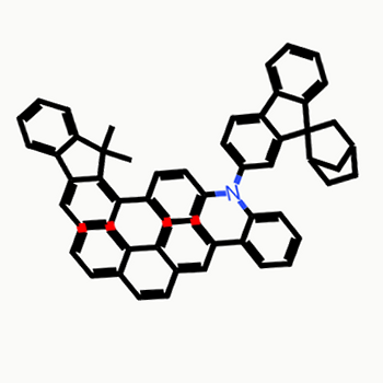 CC1(C)c2ccccc2-c2cccc(-c3ccc(N(c4ccc5c(c4)C4(CC6CCC4C6)c4ccccc4-5)c4ccccc4-c4ccc5c(ccc6ccccc65)c4)cc3)c21